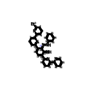 CCc1cccc(-c2cccc(C3=CC=C(c4cccc(-c5ccccn5)n4)C(=N)/C3=N\Nc3ccccc3)n2)n1